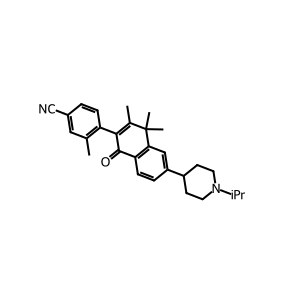 CC1=C(c2ccc(C#N)cc2C)C(=O)c2ccc(C3CCN(C(C)C)CC3)cc2C1(C)C